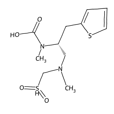 CN(C[C@@H](Cc1cccs1)N(C)C(=O)O)C[SH](=O)=O